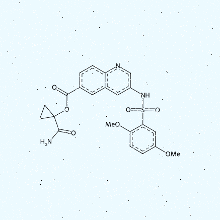 COc1ccc(OC)c(S(=O)(=O)Nc2cnc3ccc(C(=O)OC4(C(N)=O)CC4)cc3c2)c1